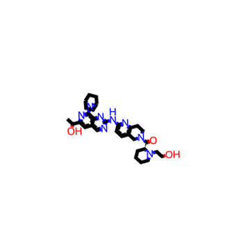 CC(O)c1cc2cnc(Nc3ccc4c(n3)CCN(C(=O)[C@H]3CCCCN3CCO)C4)nc2c(N2C3CCC2CC3)n1